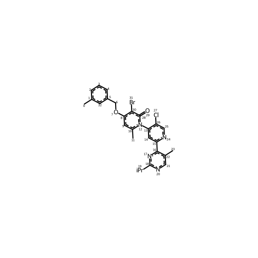 Cc1cccc(COc2cc(C)n(-c3cc(-c4nc(C(C)C)ncc4C)ncc3Cl)c(=O)c2Br)c1